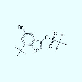 CC(C)(C)c1cc(Br)cc2c(OS(=O)(=O)C(F)(F)F)coc12